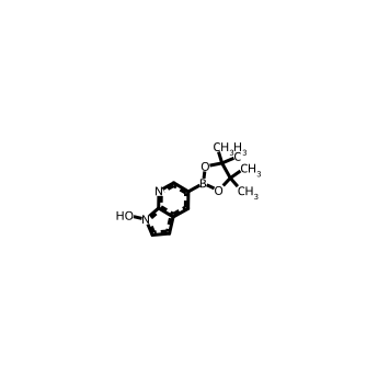 CC1(C)OB(c2cnc3c(ccn3O)c2)OC1(C)C